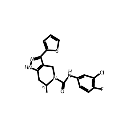 C[C@H]1Cc2[nH]nc(-c3cccs3)c2CN1C(=O)Nc1ccc(F)c(Cl)c1